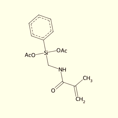 C=C(C)C(=O)NC[Si](OC(C)=O)(OC(C)=O)c1ccccc1